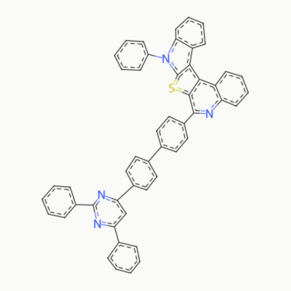 c1ccc(-c2cc(-c3ccc(-c4ccc(-c5nc6ccccc6c6c5sc5c6c6ccccc6n5-c5ccccc5)cc4)cc3)nc(-c3ccccc3)n2)cc1